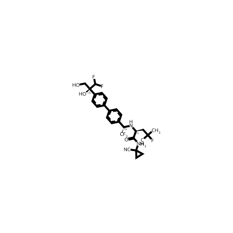 CC(C)(F)C[C@H](N[C@@H](c1ccc(-c2ccc([C@](O)(CO)C(F)F)cc2)cc1)C(F)(F)F)C(=O)NC1(C#N)CC1